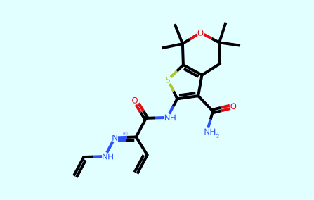 C=CN/N=C(\C=C)C(=O)Nc1sc2c(c1C(N)=O)CC(C)(C)OC2(C)C